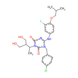 CC(C)COc1ccc(Nc2nc(=O)n(C(C)C(CO)CO)c(=O)n2Cc2ccc(Cl)cc2)cc1F